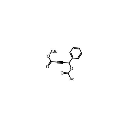 CC(=O)C(=O)OC(C#CC(=O)OC(C)(C)C)c1ccccc1